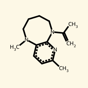 C=C(C)N1CCCCN(C)c2ccc(C)nc21